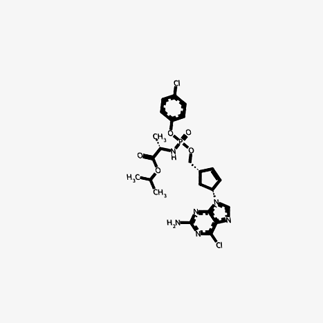 CC(C)OC(=O)[C@H](C)NP(=O)(OC[C@@H]1C=C[C@H](n2cnc3c(Cl)nc(N)nc32)C1)Oc1ccc(Cl)cc1